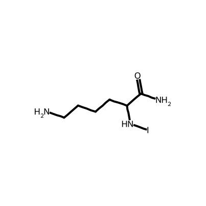 NCCCCC(NI)C(N)=O